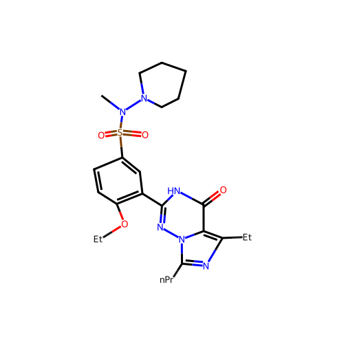 CCCc1nc(CC)c2c(=O)[nH]c(-c3cc(S(=O)(=O)N(C)N4CCCCC4)ccc3OCC)nn12